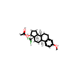 COc1ccc2c(c1)CC[C@@H]1[C@@H]2CC[C@]2(C(F)F)[C@@H](OC(C)=O)CC[C@@H]12